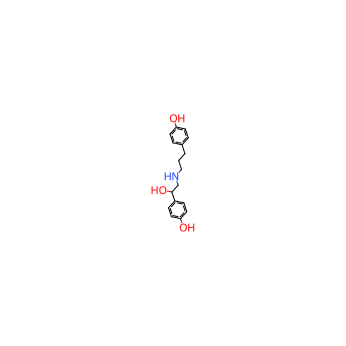 Oc1ccc(CCCNCC(O)c2ccc(O)cc2)cc1